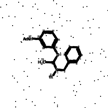 CCN(Cc1ccccc1)C(C)Oc1cccc(NC(C)=O)c1